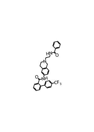 O=C(NCCN1CCc2cc(NC(=O)c3ccccc3-c3ccc(C(F)(F)F)cc3)ccc2C1)c1ccccc1